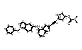 CN(C)C(=O)O[C@@H]1CN[C@H](C#Cc2cc3c(Nc4ccc5c(cnn5Cc5ccccc5)c4)ncnc3s2)C1